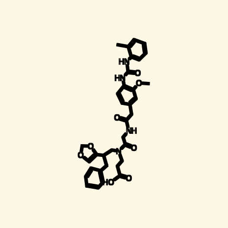 COc1cc(CC(=O)NCC(=O)N(CCC(=O)O)CC(Cc2ccccc2)C2=COCO2)ccc1NC(=O)Nc1ccccc1C